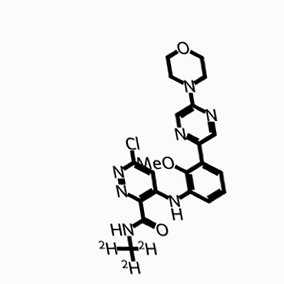 [2H]C([2H])([2H])NC(=O)c1nnc(Cl)cc1Nc1cccc(-c2cnc(N3CCOCC3)cn2)c1OC